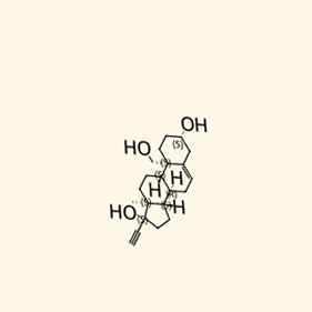 C#C[C@]1(O)CC[C@H]2[C@@H]3CC=C4C[C@@H](O)CC[C@]4(CO)[C@H]3CC[C@@]21C